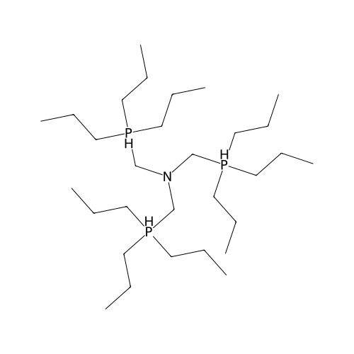 CCC[PH](CCC)(CCC)CN(C[PH](CCC)(CCC)CCC)C[PH](CCC)(CCC)CCC